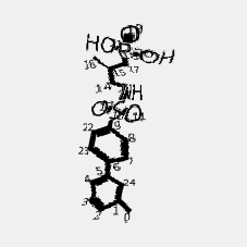 Cc1cccc(-c2ccc(S(=O)(=O)NC[C@@H](C)CP(=O)(O)O)cc2)c1